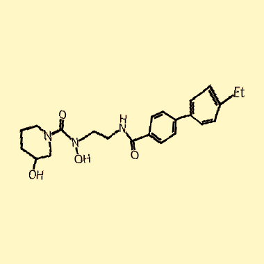 CCc1ccc(-c2ccc(C(=O)NCCN(O)C(=O)N3CCCC(O)C3)cc2)cc1